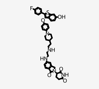 O=C1CCC(N2Cc3cc(NCCNCCC4CCN(c5ccc(Oc6c(-c7ccc(F)cc7)sc7cc(O)ccc67)cc5)CC4)ccc3C2=O)C(=O)N1